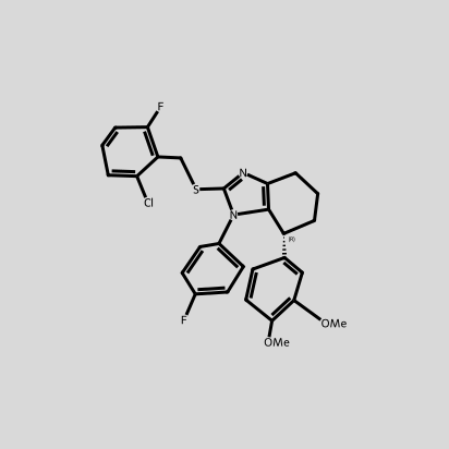 COc1ccc([C@H]2CCCc3nc(SCc4c(F)cccc4Cl)n(-c4ccc(F)cc4)c32)cc1OC